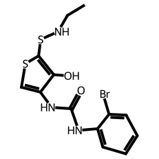 CCNSc1scc(NC(=O)Nc2ccccc2Br)c1O